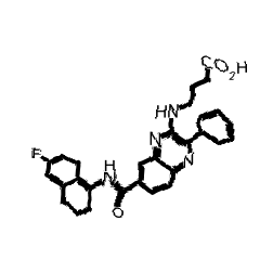 O=C(O)CCCNc1nc2cc(C(=O)NC3=C4CC=C(F)C=C4CCC3)ccc2nc1-c1ccccc1